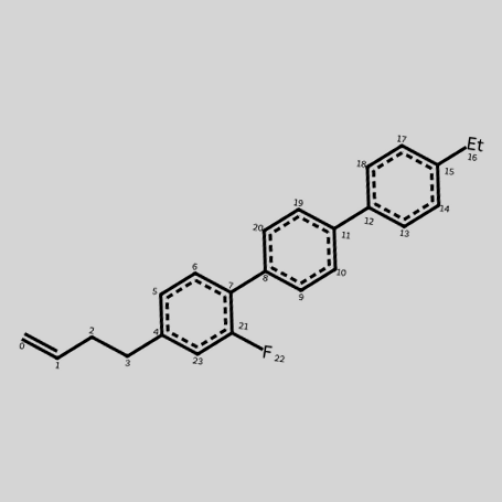 C=CCCc1ccc(-c2ccc(-c3ccc(CC)cc3)cc2)c(F)c1